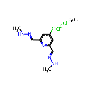 CNN=Cc1cc(Cl)cc(C=NNC)n1.[Cl-].[Cl-].[Cl-].[Fe+3]